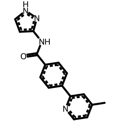 Cc1ccnc(-c2ccc(C(=O)Nc3cc[nH]n3)cc2)c1